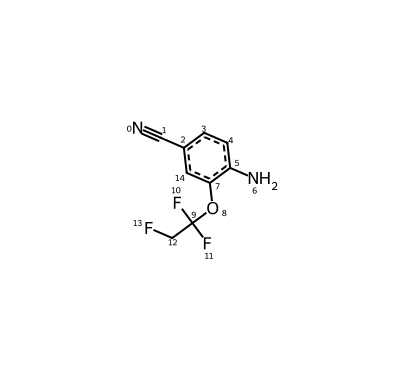 N#Cc1ccc(N)c(OC(F)(F)CF)c1